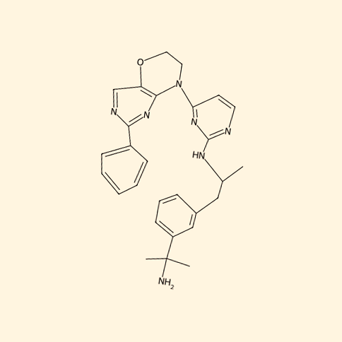 CC(Cc1cccc(C(C)(C)N)c1)Nc1nccc(N2CCOc3cnc(-c4ccccc4)nc32)n1